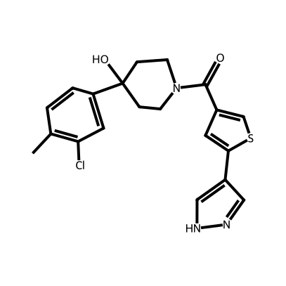 Cc1ccc(C2(O)CCN(C(=O)c3csc(-c4cn[nH]c4)c3)CC2)cc1Cl